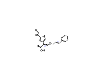 O=CNc1nc(/C(=N\OC/C=C/c2ccccc2)C(=O)O)cs1